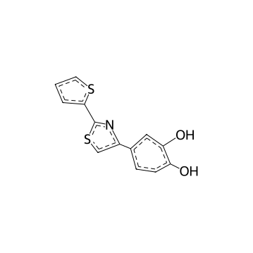 Oc1ccc(-c2csc(-c3cccs3)n2)cc1O